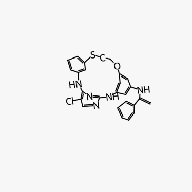 C=C(Nc1cc2cc(c1)OCCSc1cccc(c1)Nc1nc(ncc1Cl)N2)c1ccccc1